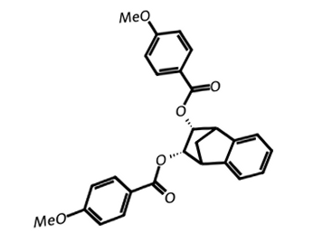 COc1ccc(C(=O)O[C@@H]2C3CC(c4ccccc43)[C@@H]2OC(=O)c2ccc(OC)cc2)cc1